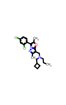 CCCN(Cc1c(C)nn2c(-c3ccc(Cl)cc3Cl)c(C)oc12)CC1CCC1